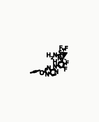 CC#CCOc1cnc2c(Nc3cc(F)c(F)c([C@@]4(C)N=C(N)S[C@@]5(C(F)F)C[C@@H]45)c3)nccc2n1